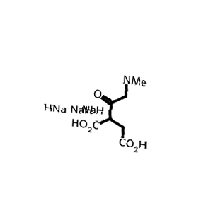 CNCC(=O)C(CC(=O)O)C(=O)O.[NaH].[NaH].[NaH]